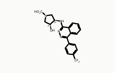 O=C(O)N1C[C@H](O)[C@H](Nc2nnc(-c3ccc(C(F)(F)F)cc3)c3ccccc23)C1